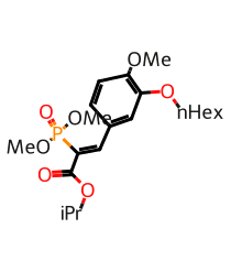 CCCCCCOc1cc(C=C(C(=O)OC(C)C)P(=O)(OC)OC)ccc1OC